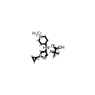 CN1CCC(Nc2cnn(C3CC3)c2)CC1.O=C(O)C(F)(F)F